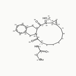 CC(C)(C)OC(=O)N[C@H]1CCCCCCC2=C[C@]2(C(=O)O)NC(=O)C2Cc3ccccc3CN2C1=O